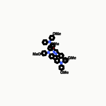 COc1ccc(N(c2ccccc2)c2ccc(-c3cc4n(n3)C3(c5cc(N(c6ccc(OC)cc6)c6ccc(OC)cc6)ccc5-c5ccc(N(c6ccc(OC)cc6)c6ccc(OC)cc6)cc53)c3cc(C(C)(C)C)ccc3-4)cc2)cc1